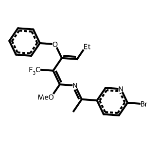 CC/C=C(Oc1ccccc1)/C(=C(\N=C(/C)c1ccc(Br)nc1)OC)C(F)(F)F